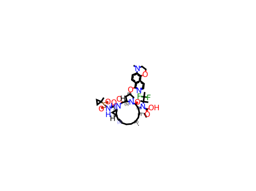 CC[C@@H]1C[C@H](C)CC/C=C\[C@@H]2C[C@@]2(C(=O)NS(=O)(=O)C2(C)CC2)NC(=O)[C@@H]2C[C@@H](Oc3nccc4c5c(ccc34)N(C)CCO5)CN2C(=O)[C@H]1N(C(=O)O)C(C)(C)C(C)(F)F